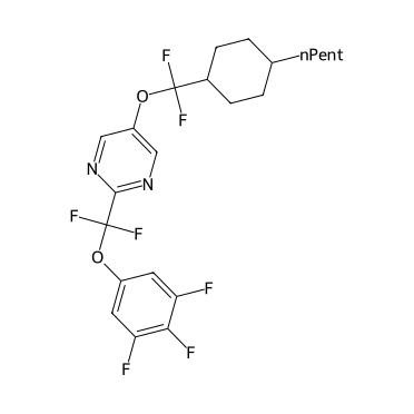 CCCCCC1CCC(C(F)(F)Oc2cnc(C(F)(F)Oc3cc(F)c(F)c(F)c3)nc2)CC1